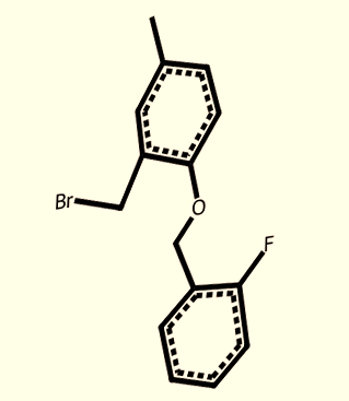 Cc1ccc(OCc2ccccc2F)c(CBr)c1